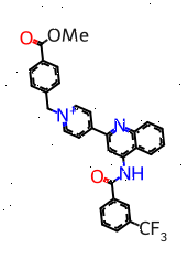 COC(=O)c1ccc(C[n+]2ccc(-c3cc(NC(=O)c4cccc(C(F)(F)F)c4)c4ccccc4n3)cc2)cc1